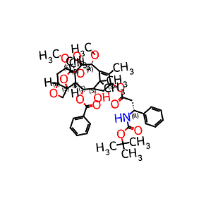 CO[C@H]1C(=O)[C@]2(C)[C@@H](OC)C[C@H]3OC[C@@]3(OC(C)=O)[C@H]2[C@H](OC(=O)c2ccccc2)[C@]2(O)C[C@H](OC(=O)C[C@@H](NC(=O)OC(C)(C)C)c3ccccc3)C(C)=C1C2(C)C